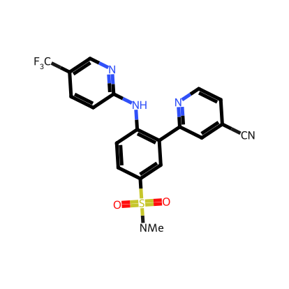 CNS(=O)(=O)c1ccc(Nc2ccc(C(F)(F)F)cn2)c(-c2cc(C#N)ccn2)c1